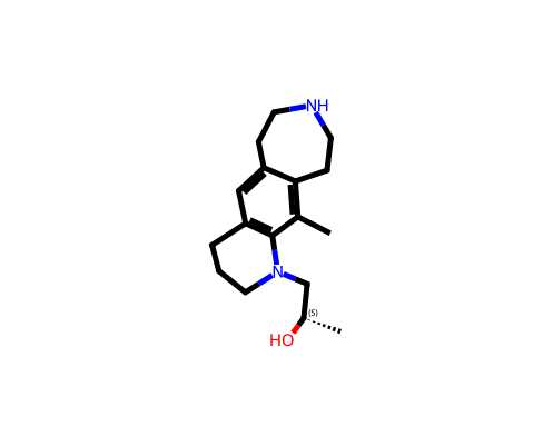 Cc1c2c(cc3c1N(C[C@H](C)O)CCC3)CCNCC2